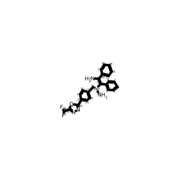 N/C(=C(/c1ccccc1)N(N)Cc1ccc(-c2nnc(C(F)F)o2)cc1)c1ccccc1